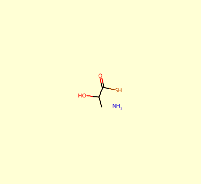 CC(O)C(=O)S.N